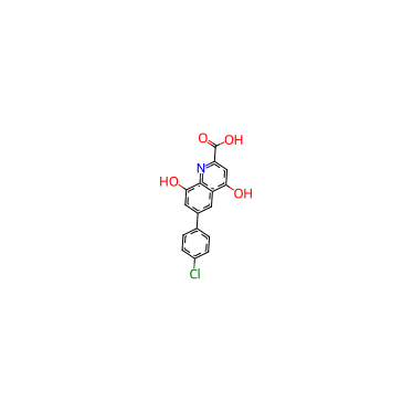 O=C(O)c1cc(O)c2cc(-c3ccc(Cl)cc3)cc(O)c2n1